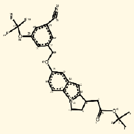 CC(C)(C)OC(=O)CC1CCn2c1cc1cc(OCc3cc(C#N)cc(OC(F)(F)F)c3)ccc12